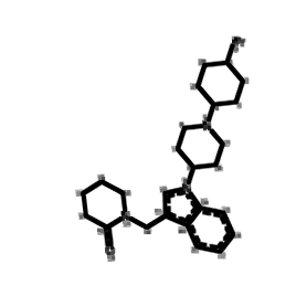 CC(C)C1CCC(N2CCC(n3cc(CN4CCCCC4=O)c4ccccc43)CC2)CC1